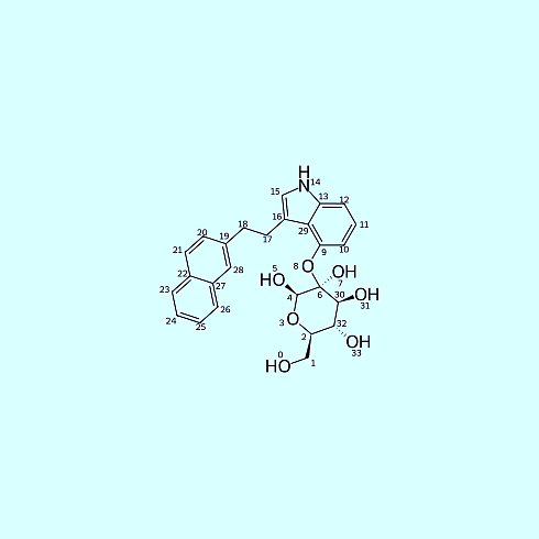 OC[C@H]1O[C@@H](O)[C@@](O)(Oc2cccc3[nH]cc(CCc4ccc5ccccc5c4)c23)[C@@H](O)[C@@H]1O